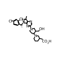 Cc1nn([C@H](C)c2ccc(Cl)cc2Cl)c2nc(N3CC[C@H](N4CCCC(CC(=O)O)C4)C(CO)C3)cnc12